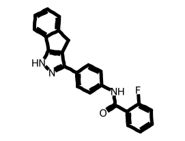 O=C(Nc1ccc(-c2n[nH]c3c2Cc2ccccc2-3)cc1)c1ccccc1F